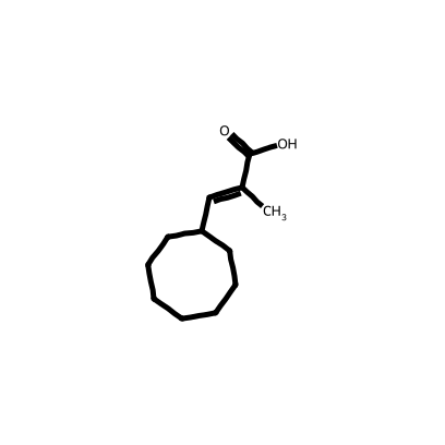 C/C(=C\C1CCCCCCC1)C(=O)O